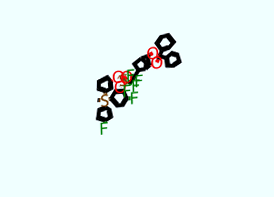 CS(c1ccc(F)cc1)(c1ccc(F)cc1)c1cccc(OS(=O)(=O)C(F)(F)C(F)(F)C2CC3CC2C2OC(c4ccccc4)(c4ccccc4)OC32)c1